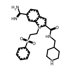 N=C(N)c1ccc2cc(C(=O)NCC3CCNCC3)n(CCS(=O)(=O)c3ccccc3)c2c1